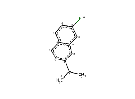 CC(C)c1ccc2ccc(F)cc2c1